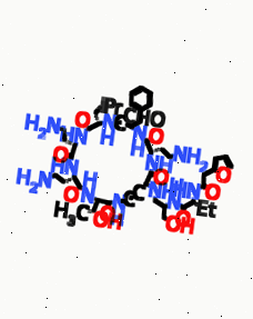 CC[C@H](NC(=O)Cc1ccco1)C(=O)NC(CO)CN[C@H]1CCNC(=O)[C@H]([C@@H](C)O)NC(=O)[C@H](CCN)NC(=O)[C@H](CCN)NC(=O)[C@H](CC(C)C)NC[C@](C=O)(Cc2ccccc2)NC(=O)[C@H](CCN)NC1=O